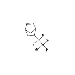 FC(F)(Br)C(F)(F)C1CC2C=CC1C2